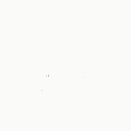 CC(=O)OCC(C)(C)CCCC(C)(C(=O)OC(C)(C)C)c1cccc(C)c1